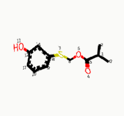 CC(C)C(=O)OCSc1cccc(O)c1